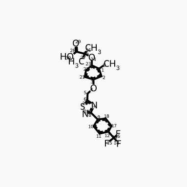 Cc1cc(OCc2nc(-c3ccc(C(F)(F)F)cc3)ns2)ccc1OC(C)(C)C(=O)O